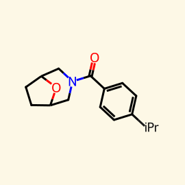 CC(C)c1ccc(C(=O)N2CC3CCC(C2)O3)cc1